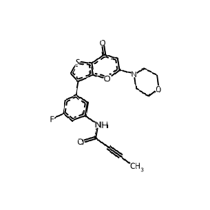 CC#CC(=O)Nc1cc(F)cc(-c2csc3c(=O)cc(N4CCOCC4)oc23)c1